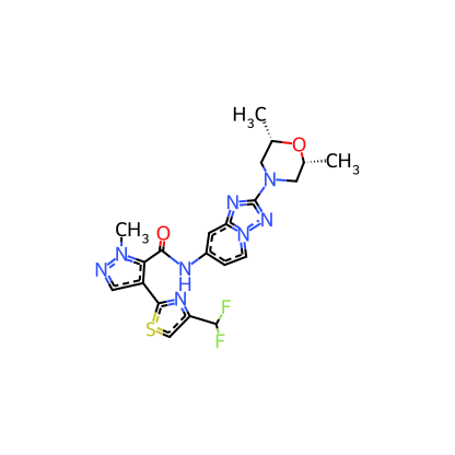 C[C@@H]1CN(c2nc3cc(NC(=O)c4c(-c5nc(C(F)F)cs5)cnn4C)ccn3n2)C[C@H](C)O1